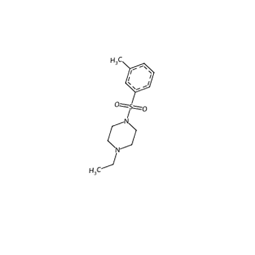 CCN1CCN(S(=O)(=O)c2cccc(C)c2)CC1